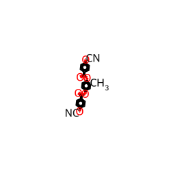 Cc1cc(OC(=O)c2ccc(OC#N)cc2)ccc1OC(=O)c1ccc(OC#N)cc1